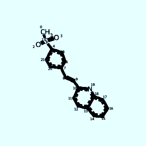 CS(=O)(=O)c1ccc(/C=C/c2ccc3ccccc3n2)cc1